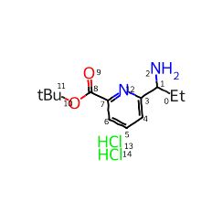 CCC(N)c1cccc(C(=O)OC(C)(C)C)n1.Cl.Cl